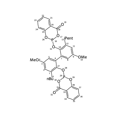 CCCCc1cc(OC)cc(-c2cc(OC)cc(C(C)CCC)c2OP2OC(=O)c3ccccc3O2)c1OP1OC(=O)c2ccccc2O1